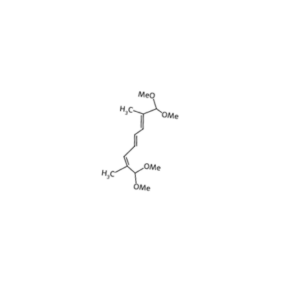 COC(OC)C(C)=CC=CC=C(C)C(OC)OC